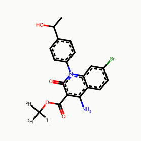 [2H]C([2H])([2H])OC(=O)c1c(N)c2ccc(Br)cc2n(-c2ccc(C(C)O)cc2)c1=O